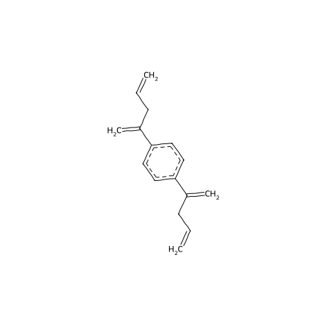 C=CCC(=C)c1ccc(C(=C)CC=C)cc1